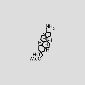 COC[C@@]1(O)CC[C@H]2[C@H](CC[C@@H]3[C@@H]2CC[C@]2(C)[C@@H](CN)CC[C@@H]32)C1